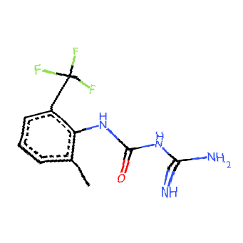 Cc1cccc(C(F)(F)F)c1NC(=O)NC(=N)N